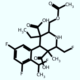 CCC1(C(=O)O)C(COC(C)=O)NC(CF)C(C)(C(=O)O)C1c1cc(F)cc(F)c1C(C)F